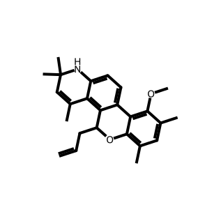 C=CCC1Oc2c(C)cc(C)c(OC)c2-c2ccc3c(c21)C(C)=CC(C)(C)N3